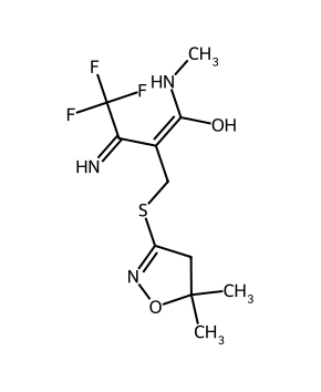 CN/C(O)=C(/CSC1=NOC(C)(C)C1)C(=N)C(F)(F)F